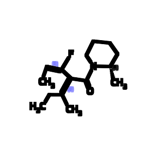 C/C=C(F)\C(C(=O)N1CCCC[C@@H]1C)=C(\C)CC